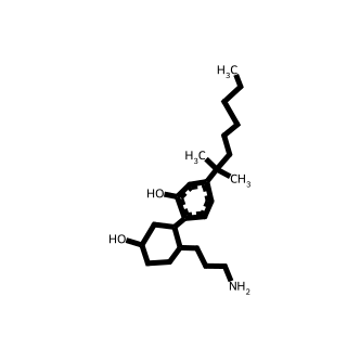 CCCCCCC(C)(C)c1ccc(C2CC(O)CCC2CCCN)c(O)c1